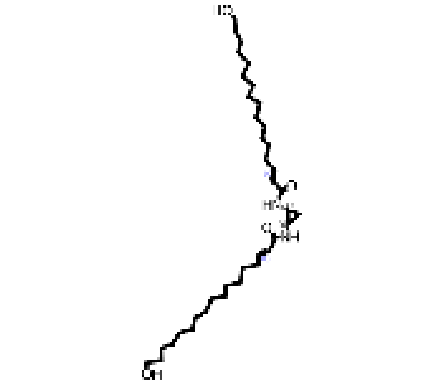 O=C(/C=C/CCCCCCCCCCCCCCO)N[C@H]1C[C@H]1NC(=O)/C=C/CCCCCCCCCCCCCCO